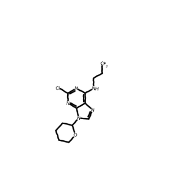 FC(F)(F)CCNc1nc(Cl)nc2c1ncn2C1CCCCO1